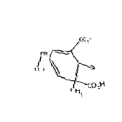 CC1(C(=O)O)C=CC=C(C(=O)O)C1Br.CCCO